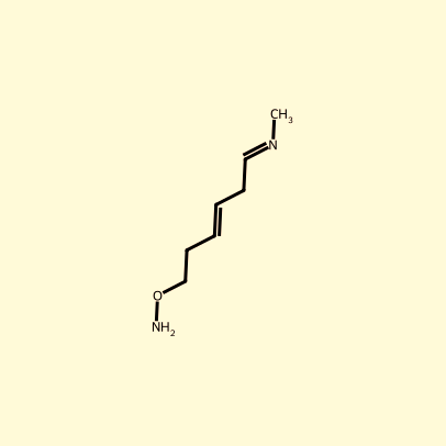 C/N=C/CC=CCCON